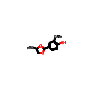 CCCCC1COC(c2ccc(O)c(OC)c2)O1